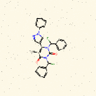 O=c1c([N+](=O)[O-])c(-c2cnn(-c3ccccc3)c2)n(C(F)c2ccccc2)c(=O)n1C(F)c1ccccc1